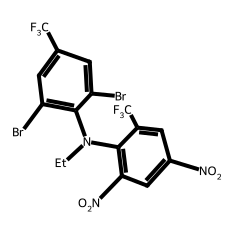 CCN(c1c(Br)cc(C(F)(F)F)cc1Br)c1c([N+](=O)[O-])cc([N+](=O)[O-])cc1C(F)(F)F